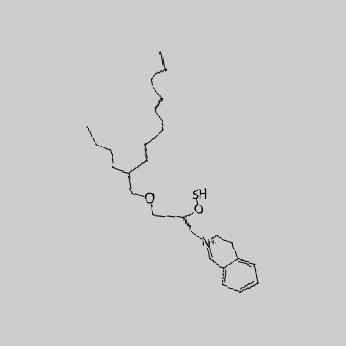 CCCCCCCCC(CCCC)COCC(C[N+]1=Cc2ccccc2CC1)OS